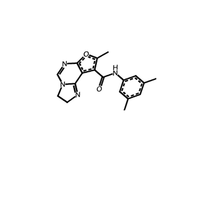 Cc1cc(C)cc(NC(=O)c2c(C)oc3c2C2=NCCN2C=N3)c1